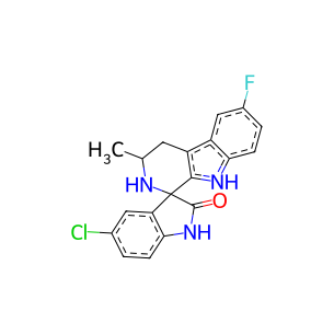 CC1Cc2c([nH]c3ccc(F)cc23)C2(N1)C(=O)Nc1ccc(Cl)cc12